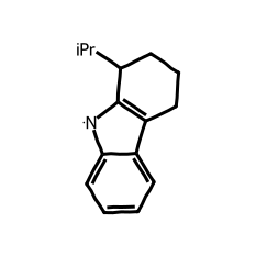 CC(C)C1CCCC2=C1[N]c1ccccc12